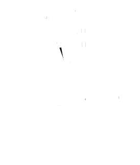 CCC(c1ccccc1I)[C@]1(S(=O)(=O)O)C=CC(C)[C@@](O[Si](C)(C)C(C)(C)C)(C2CCCCC2)C1